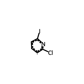 Clc1[c]ccc(I)n1